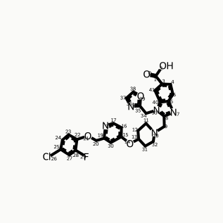 O=C(O)c1ccc2nc(CN3CCC(Oc4ccnc(COc5ccc(Cl)cc5F)c4)CC3)n(Cc3ncco3)c2c1